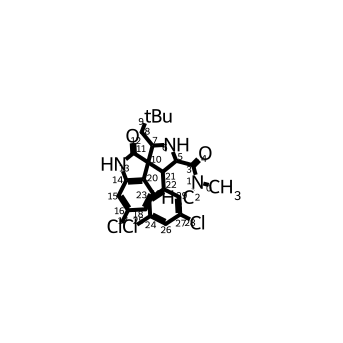 CN(C)C(=O)C1NC(CC(C)(C)C)C2(C(=O)Nc3cc(Cl)ccc32)C1c1cc(Cl)cc(Cl)c1